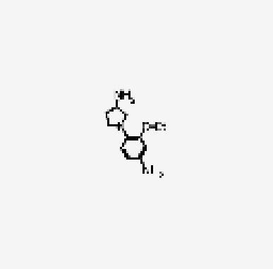 CCOc1cc(N)ccc1N1CCC(N)C1